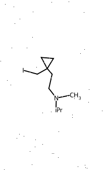 CC(C)N(C)CCC1(CI)CC1